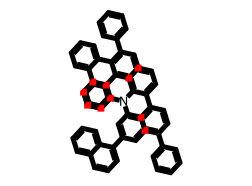 c1ccc(-c2ccc(-c3ccccc3N(c3cccc(-c4cccc5ccccc45)c3)c3ccccc3-c3cccc(-c4ccccc4)c3-c3ccccc3-c3ccccc3)cc2)cc1